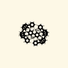 N#Cc1c(-c2c(C#N)c(-n3c4ccccc4c4ccccc43)c(-n3c4ccccc4c4ccccc43)c(-n3c4ccccc4c4ccccc43)c2C#N)c(C#N)c(-n2c3ccccc3c3ccccc32)c(-n2c3ccccc3c3ccccc32)c1-n1c2ccccc2c2ccccc21